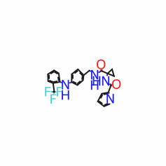 O=C(NC1(C(=O)NCc2ccc(Nc3ccccc3C(F)(F)F)cc2)CC1)c1ccccn1